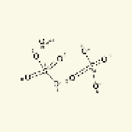 O=S(=O)([O-])[O-].O=S(=O)([O-])[O-].[Os+4]